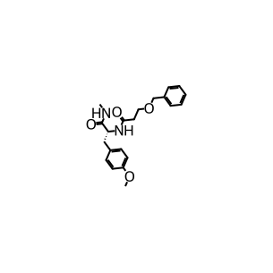 CNC(=O)[C@@H](Cc1ccc(OC)cc1)NC(=O)CCOCc1ccccc1